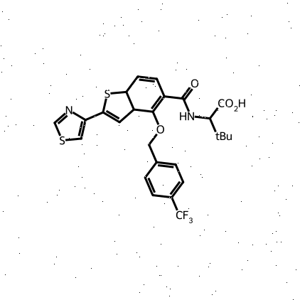 CC(C)(C)C(NC(=O)C1=C(OCc2ccc(C(F)(F)F)cc2)C2C=C(c3cscn3)SC2C=C1)C(=O)O